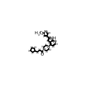 Cn1cc(-c2cc3c(N4CCN(C(=O)CCC5CCCC5)CC4)ccnc3[nH]2)cn1